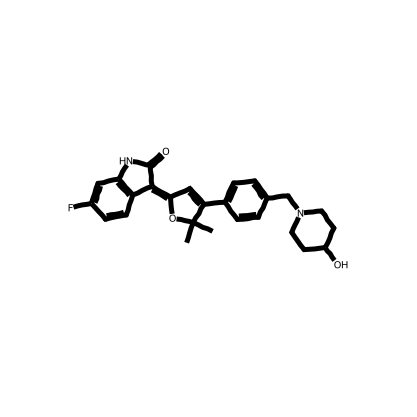 CC1(C)O/C(=C2/C(=O)Nc3cc(F)ccc32)C=C1c1ccc(CN2CCC(O)CC2)cc1